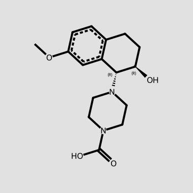 COc1ccc2c(c1)[C@@H](N1CCN(C(=O)O)CC1)[C@H](O)CC2